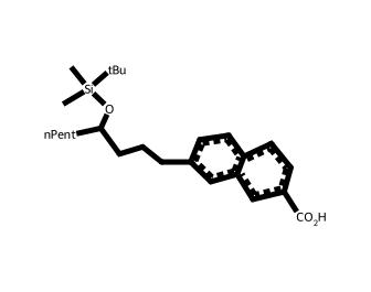 CCCCCC(CCCc1ccc2ccc(C(=O)O)cc2c1)O[Si](C)(C)C(C)(C)C